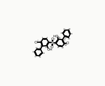 O=S(=O)(c1ccc(Cl)c(-c2ccccc2)c1O)c1ccc(Cl)c(-c2ccccc2)c1O